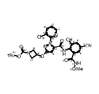 CONC(=O)c1cc(C#N)cc(C)c1NC(=O)c1cc(OC2CN(C(=O)OC(C)(C)C)C2)nn1-c1ncccc1Cl